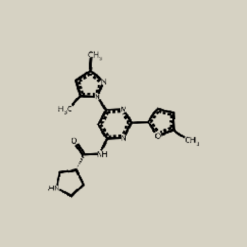 Cc1cc(C)n(-c2cc(NC(=O)[C@@H]3CCNC3)nc(-c3ccc(C)o3)n2)n1